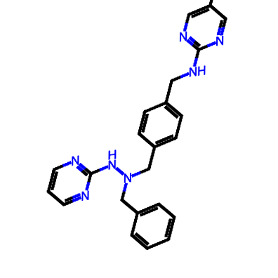 Fc1cnc(NCc2ccc(CN(Cc3ccccc3)Nc3ncccn3)cc2)nc1